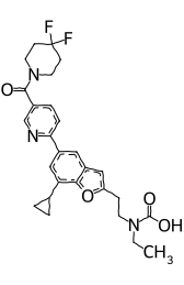 CCN(CCc1cc2cc(-c3ccc(C(=O)N4CCC(F)(F)CC4)cn3)cc(C3CC3)c2o1)C(=O)O